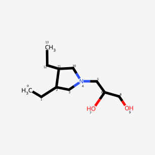 CCC1CN(CC(O)CO)CC1CC